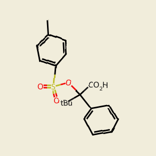 Cc1ccc(S(=O)(=O)OC(C(=O)O)(c2ccccc2)C(C)(C)C)cc1